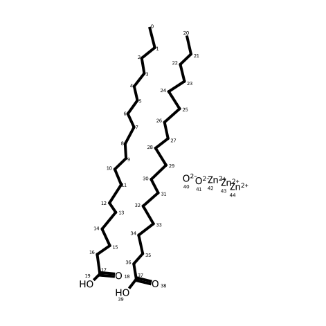 CCCCCCCCCCCCCCCCCC(=O)O.CCCCCCCCCCCCCCCCCC(=O)O.[O-2].[O-2].[Zn+2].[Zn+2].[Zn+2]